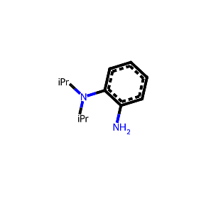 CC(C)N(c1ccccc1N)C(C)C